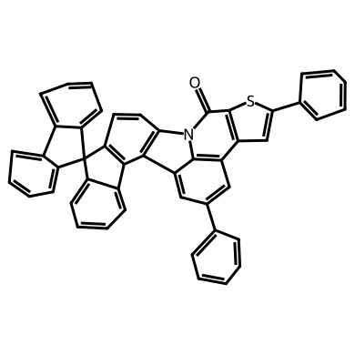 O=c1c2sc(-c3ccccc3)cc2c2cc(-c3ccccc3)cc3c4c5c(ccc4n1c23)C1(c2ccccc2-c2ccccc21)c1ccccc1-5